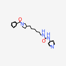 O=C(NCCCCCCC1CCN(C(=O)c2ccccc2)C1)Nc1ccncc1